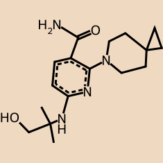 CC(C)(CO)Nc1ccc(C(N)=O)c(N2CCC3(CC2)CC3)n1